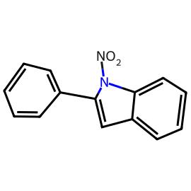 O=[N+]([O-])n1c(-c2ccccc2)cc2ccccc21